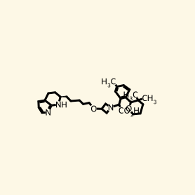 Cc1ccc(C2OCCCC2(C)C)c(C(C(=O)O)N2CC(OCCCCC[C@@H]3CCc4cccnc4N3)C2)c1